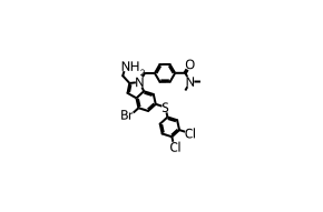 CN(C)C(=O)c1ccc(Cn2c(CN)cc3c(Br)cc(Sc4ccc(Cl)c(Cl)c4)cc32)cc1